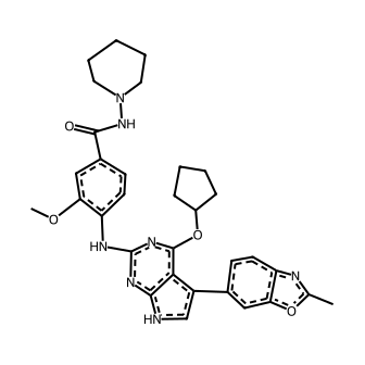 COc1cc(C(=O)NN2CCCCC2)ccc1Nc1nc(OC2CCCC2)c2c(-c3ccc4nc(C)oc4c3)c[nH]c2n1